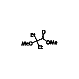 CCC(CC)(OC)C(=O)OC